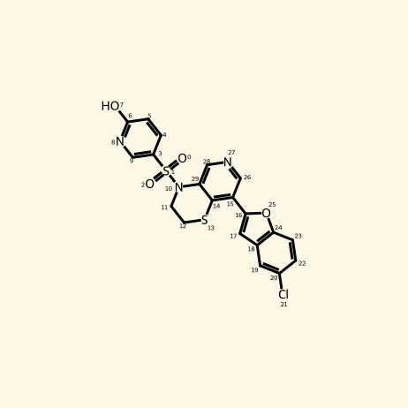 O=S(=O)(c1ccc(O)nc1)N1CCSc2c(-c3cc4cc(Cl)ccc4o3)cncc21